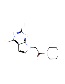 O=C(Cn1ccc2c(Cl)nc(Cl)nc21)N1CCOCC1